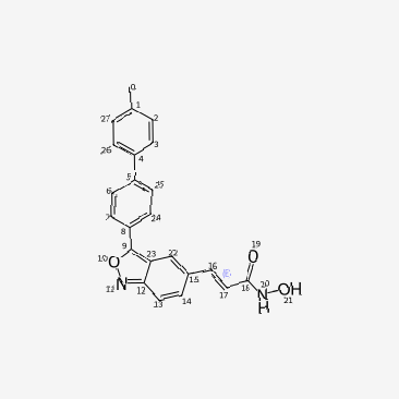 Cc1ccc(-c2ccc(-c3onc4ccc(/C=C/C(=O)NO)cc34)cc2)cc1